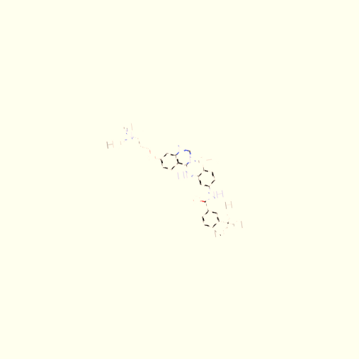 Cc1ccc(NC(=O)c2cccc(C(C)(C)C#N)c2)cc1Nc1ncnc2cc(OCCCN(C)C)ccc12